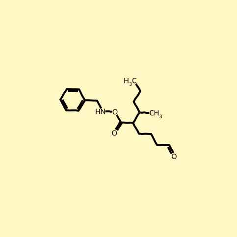 CCCC(C)C(CCCC=O)C(=O)ONCc1ccccc1